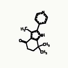 Cc1c(-c2ccncc2)[nH]c2c1C(=O)CCC2(C)C